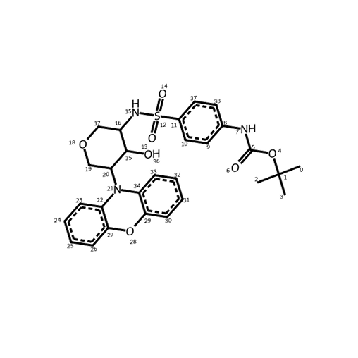 CC(C)(C)OC(=O)Nc1ccc(S(=O)(=O)NC2COCC(N3c4ccccc4Oc4ccccc43)C2O)cc1